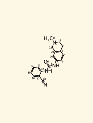 CN1CCc2ccc(NC(=O)Nc3ccccc3C#N)cc2C1